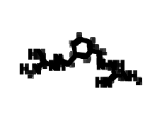 N=C(N)NN=Cc1cccc(C=NNC(=N)N)c1